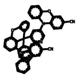 N#Cc1ccc2c(c1)Oc1ccccc1N2c1cnc2c(c1)C1(c3ccccc3Oc3cccc(-n4c5ccccc5c5cc(C#N)ccc54)c31)c1cccnc1-2